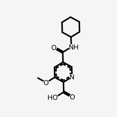 COc1cc(C(=O)NC2CCCCC2)cnc1C(=O)O